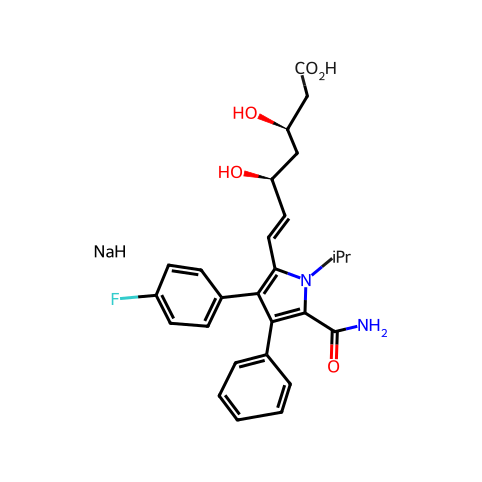 CC(C)n1c(C=C[C@@H](O)C[C@@H](O)CC(=O)O)c(-c2ccc(F)cc2)c(-c2ccccc2)c1C(N)=O.[NaH]